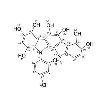 Cc1cc(Cl)ccc1-n1c2c(O)cc(O)c(O)c2c2c(O)c(O)c3c(sc4ccc(O)c(O)c43)c21